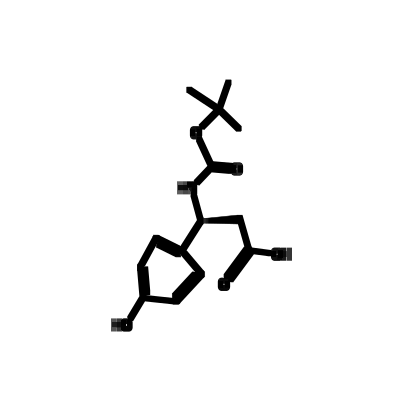 CC(C)(C)OC(=O)N[C@@H](CC(=O)O)c1ccc(O)cc1